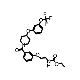 CCOC(=O)NCCOc1cccc(C(=O)N2CCC(Oc3cccc(OC(F)(F)F)c3)CC2)c1